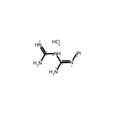 CC(C)N=C(N)NC(=N)N.Cl